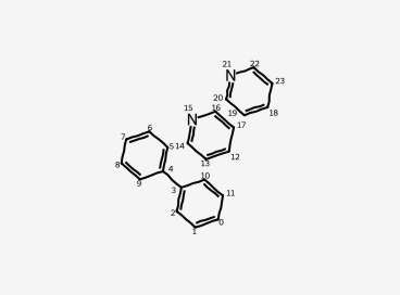 c1ccc(-c2ccccc2)cc1.c1ccncc1.c1ccncc1